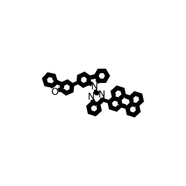 c1ccc2c(-c3ccc4c5cccc6cccc(c7cccc3c74)c65)nc(-n3c4ccccc4c4ccc(-c5ccc6oc7ccccc7c6c5)cc43)nc2c1